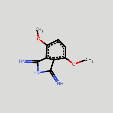 COc1ccc(OC)c2c1C(=N)NC2=N